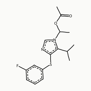 CC(=O)OC(C)n1cnc(Sc2cccc(F)c2)c1C(C)C